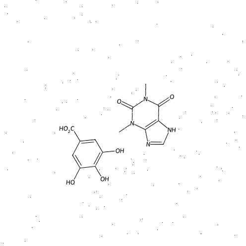 Cn1c(=O)c2[nH]cnc2n(C)c1=O.O=C(O)c1cc(O)c(O)c(O)c1